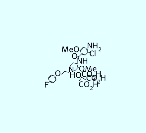 COc1cc(N)c(Cl)cc1C(=O)NC1CCN(CCCOc2ccc(F)cc2)CC1OC.O=C(O)CC(O)(CC(=O)O)C(=O)O